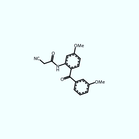 COc1cccc(C(=O)c2ccc(OC)cc2NC(=O)CC#N)c1